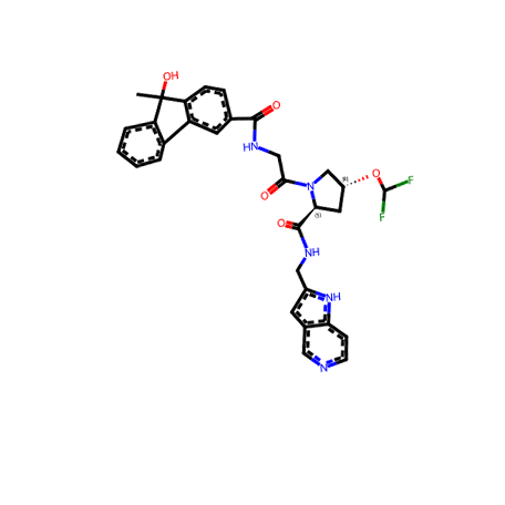 CC1(O)c2ccccc2-c2cc(C(=O)NCC(=O)N3C[C@H](OC(F)F)C[C@H]3C(=O)NCc3cc4cnccc4[nH]3)ccc21